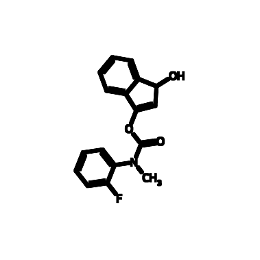 CN(C(=O)OC1=CC(O)c2ccccc21)c1ccccc1F